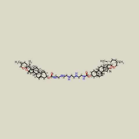 CC[C@H]1C2[C@H](C[C@H]3[C@@H]4CC=C5C[C@@H](OC(=O)NCCNCCNCCNCCNC(=O)O[C@H]6CC[C@@]7(C)C(=CC[C@@H]8[C@@H]7CC[C@]7(C)C9[C@H](C[C@@H]87)O[C@@]7(CC[C@H](C)CO7)[C@H]9C)C6)CC[C@]5(C)[C@H]4CC[C@]23C)O[C@@]12CCC[C@H](C)CO2